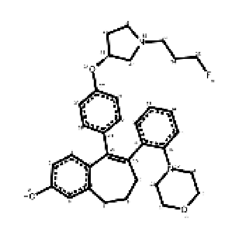 Oc1ccc2c(c1)CCCC(c1ccccc1N1CCOCC1)=C2c1ccc(O[C@H]2CCN(CCCF)C2)cc1